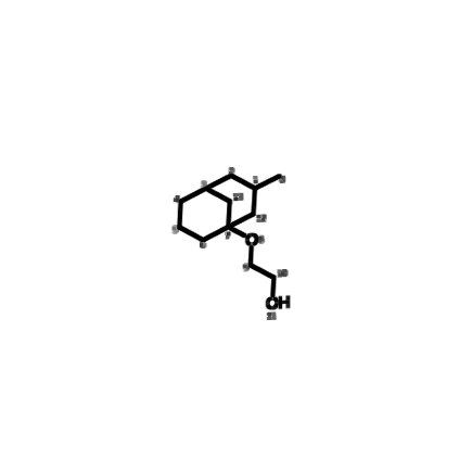 CC1CC2CCCC(OCCO)(C1)C2